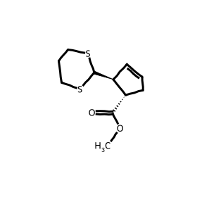 COC(=O)[C@H]1CC=C[C@@H]1C1SCCCS1